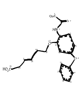 O=CC(=O)Nc1ccc(Oc2ccccc2)cc1OCCCCCC(=O)O